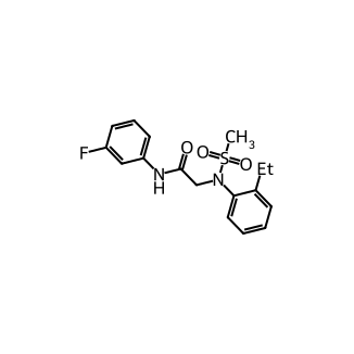 CCc1ccccc1N(CC(=O)Nc1cccc(F)c1)S(C)(=O)=O